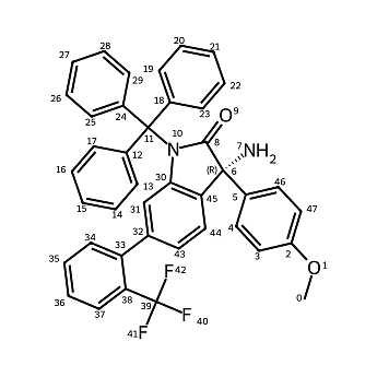 COc1ccc([C@]2(N)C(=O)N(C(c3ccccc3)(c3ccccc3)c3ccccc3)c3cc(-c4ccccc4C(F)(F)F)ccc32)cc1